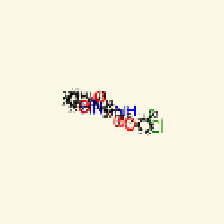 O=C(COC1CCC(Cl)C(F)C1)NC12CC(NC(=O)C3Cc4ccccc4O3)(C1)C2